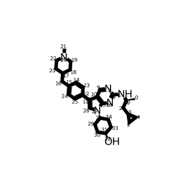 C[C@@H](CC1CC1)Nc1ncc2c(-c3ccc(CC4CCN(C)CC4)cc3)cn([C@H]3CC[C@H](O)CC3)c2n1